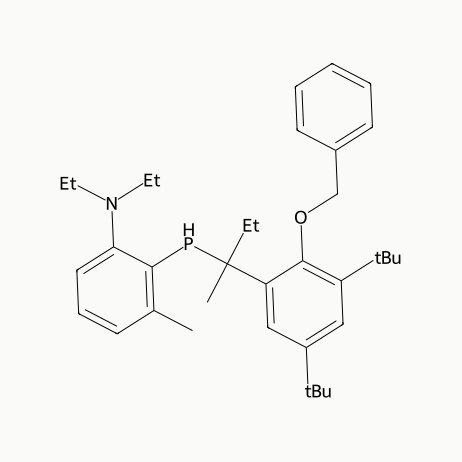 CCN(CC)c1cccc(C)c1PC(C)(CC)c1cc(C(C)(C)C)cc(C(C)(C)C)c1OCc1ccccc1